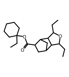 CCC1OC(CC)C2C3CC(CC3C(=O)OC3(CC)CCCCC3)C12